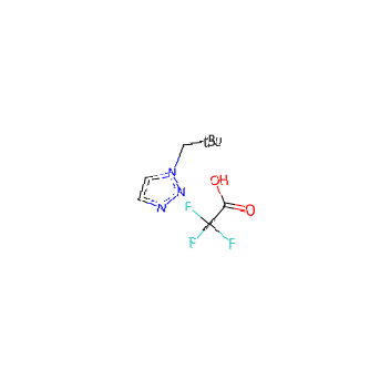 CC(C)(C)Cn1ccnn1.O=C(O)C(F)(F)F